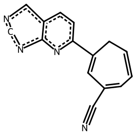 N#CC1=CC=CCC(c2ccc3cncnc3n2)=C1